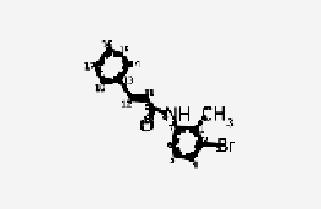 Cc1c(Br)cccc1NC(=O)/C=C/c1ccccc1